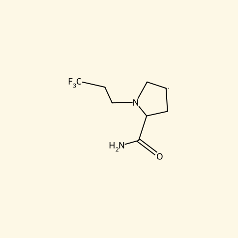 NC(=O)C1C[CH]CN1CCC(F)(F)F